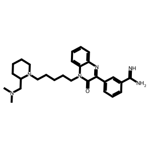 CN(C)CC1CCCCN1CCCCCn1c(=O)c(-c2cccc(C(=N)N)c2)nc2ccccc21